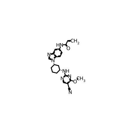 C=CC(=O)Nc1ccc2c(c1)ncn2[C@H]1CCC[C@@H](Nc2ncc(C#N)c(OC)n2)C1